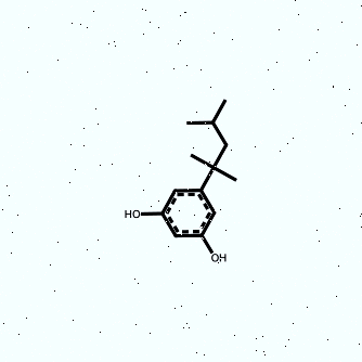 CC(C)CC(C)(C)c1cc(O)cc(O)c1